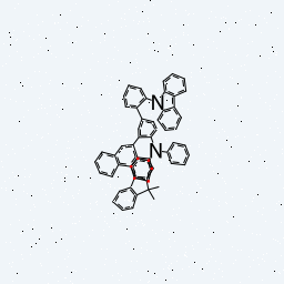 CC1(C)c2ccccc2-c2ccc(N(c3ccccc3)c3ccc(-c4ccccc4-n4c5ccccc5c5ccccc54)cc3-c3cc4ccccc4c4ccccc34)cc21